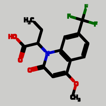 CCC(C(=O)O)n1c(=O)cc(OC)c2ccc(C(F)(F)F)cc21